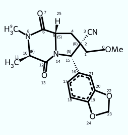 COC[C@]1(C#N)C[C@H]2C(=O)N(C)[C@H](C)C(=O)N2[C@H]1c1ccc2c(c1)OCO2